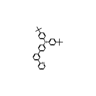 CC(C)(C)c1ccc(N(c2ccc(-c3cccc(-c4ccccn4)c3)cc2)c2ccc(C(C)(C)C)cc2)cc1